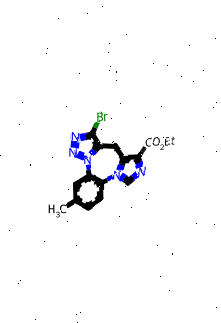 CCOC(=O)c1ncn2c1Cc1c(Br)nnn1-c1cc(C)ccc1-2